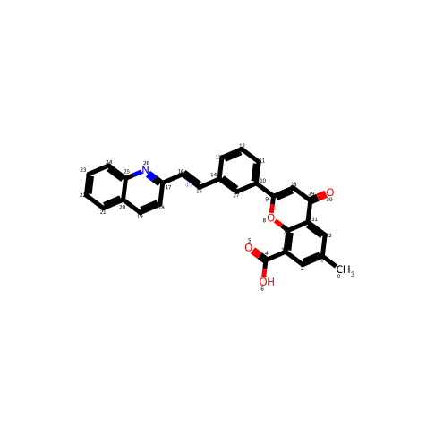 Cc1cc(C(=O)O)c2oc(-c3cccc(/C=C/c4ccc5ccccc5n4)c3)cc(=O)c2c1